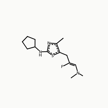 Cc1nc(NC2CCCC2)sc1CC(F)=CN(C)C